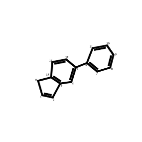 [CH]1C=Cc2cc(-c3ccccc3)ccc21